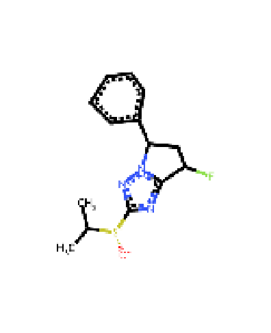 CC(C)[S@@+]([O-])c1nc2n(n1)C(c1ccccc1)CC2F